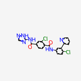 O=C(Nc1ncn[nH]1)c1ccc(C(=O)Nc2ccc(Cl)c(-c3ccccn3)c2)c(Cl)c1